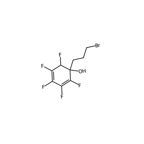 OC1(CCCBr)C(F)=C(F)C(F)=C(F)C1F